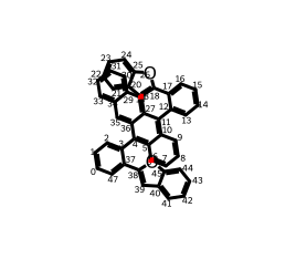 c1ccc(-c2c3ccccc3c(-c3ccccc3-c3cc4ccccc4o3)c3cc4ccccc4cc23)c(-c2cc3ccccc3o2)c1